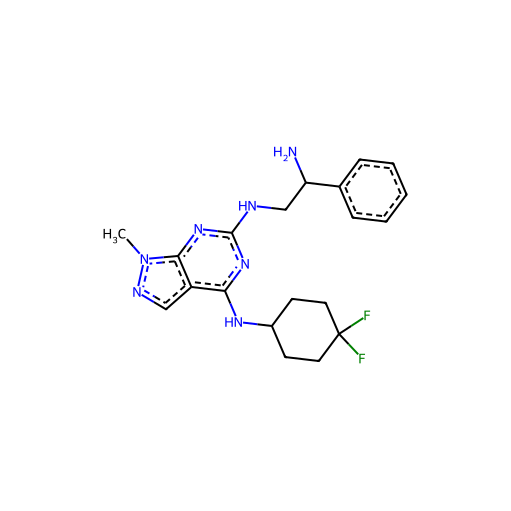 Cn1ncc2c(NC3CCC(F)(F)CC3)nc(NCC(N)c3ccccc3)nc21